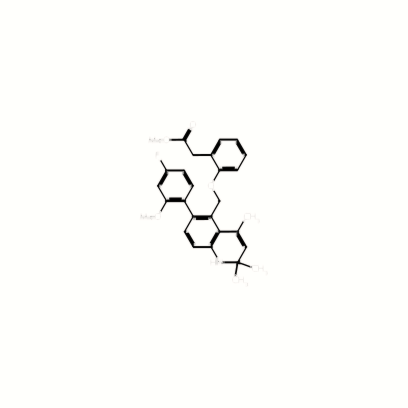 COC(=O)Cc1ccccc1OCc1c(-c2ccc(F)cc2OC)ccc2c1C(C)=CC(C)(C)N2